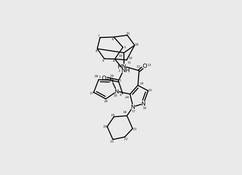 CC(=O)NC12CC3CC(C1)C(NC(=O)c1cnn(C4CCCCC4)c1-n1cccn1)C(C3)C2